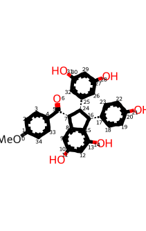 COc1ccc(C(=O)[C@H]2c3cc(O)cc(O)c3[C@@H](c3ccc(O)cc3)[C@H]2c2cc(O)cc(O)c2)cc1